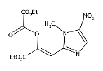 CCOC(=O)C(=O)OC(=Cc1ncc([N+](=O)[O-])n1C)C(=O)OCC